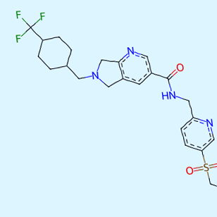 CCS(=O)(=O)c1ccc(CNC(=O)c2cnc3c(c2)CN(CC2CCC(C(F)(F)F)CC2)C3)nc1